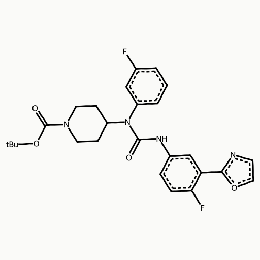 CC(C)(C)OC(=O)N1CCC(N(C(=O)Nc2ccc(F)c(-c3ncco3)c2)c2cccc(F)c2)CC1